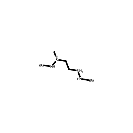 CCC(C)N[SiH2]CC[SiH](C)NC(C)CC